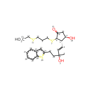 CC(O)(C=C[C@@H]1C(SCCCSCC(=O)O)C(=O)C[C@H]1O)CCc1cc2ccccc2s1